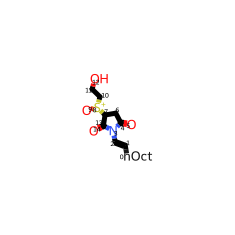 CCCCCCCC/C=C/N1C(=O)CC([S+]([O-])CCO)C1=O